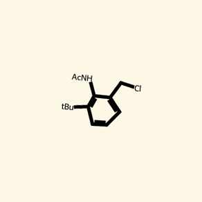 CC(=O)Nc1c(CCl)cccc1C(C)(C)C